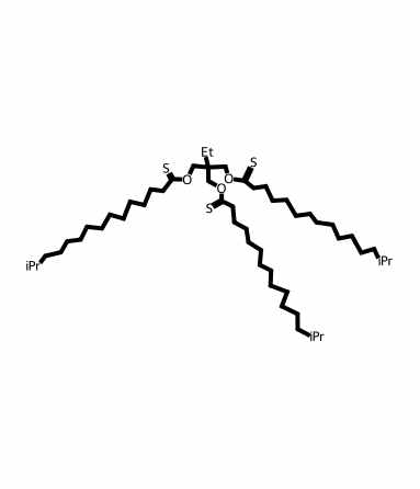 CCC(COC(=S)CCCCCCCCCCCCC(C)C)(COC(=S)CCCCCCCCCCCCC(C)C)COC(=S)CCCCCCCCCCCCC(C)C